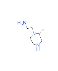 CC1CNCCN1CCN